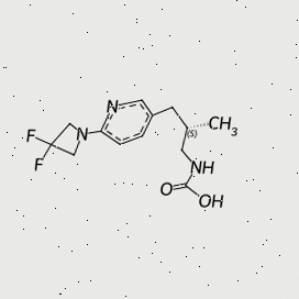 C[C@H](CNC(=O)O)Cc1ccc(N2CC(F)(F)C2)nc1